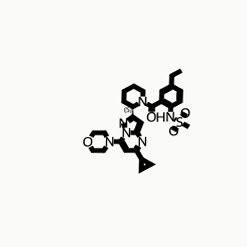 CCc1ccc(NS(C)(=O)=O)c(C(=O)N2CCCC[C@H]2c2cc3nc(C4CC4)cc(N4CCOCC4)n3n2)c1